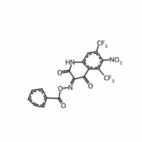 O=C1Nc2cc(C(F)(F)F)c([N+](=O)[O-])c(C(F)(F)F)c2C(=O)C1=NOC(=O)c1ccccc1